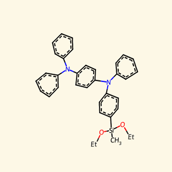 CCO[Si](C)(OCC)c1ccc(N(c2ccccc2)c2ccc(N(c3ccccc3)c3ccccc3)cc2)cc1